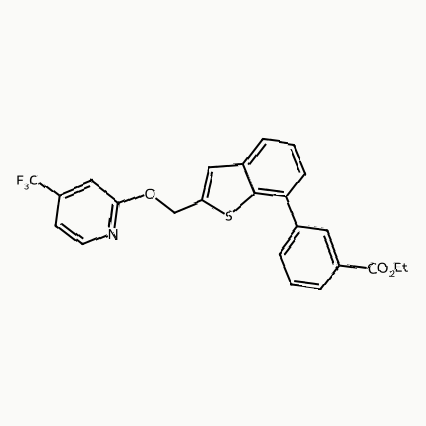 CCOC(=O)c1cccc(-c2cccc3cc(COc4cc(C(F)(F)F)ccn4)sc23)c1